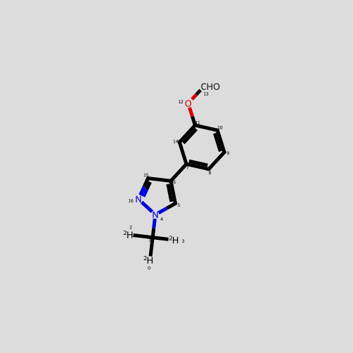 [2H]C([2H])([2H])n1cc(-c2cccc(OC=O)c2)cn1